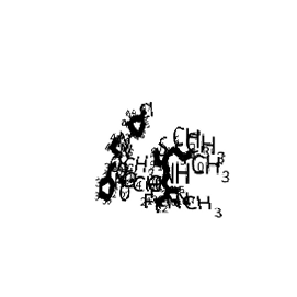 CC(C)CC(C)c1sccc1NC(=O)c1cn(C)nc1C(F)(F)F.COC(=O)N(OC)c1ccccc1COc1ccn(-c2ccc(Cl)cc2)n1